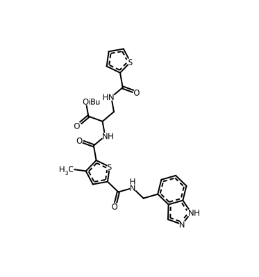 Cc1cc(C(=O)NCc2cccc3[nH]ncc23)sc1C(=O)NC(CNC(=O)c1cccs1)C(=O)OCC(C)C